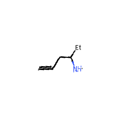 C=CCC([NH])CC